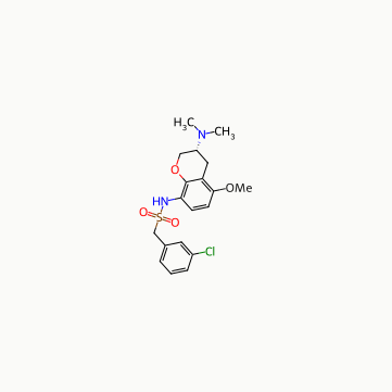 COc1ccc(NS(=O)(=O)Cc2cccc(Cl)c2)c2c1C[C@@H](N(C)C)CO2